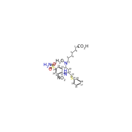 CN(CCCCCCC(=O)O)CCC(CSc1ccccc1)Nc1ccc(S(N)(=O)=O)cc1[N+](=O)[O-]